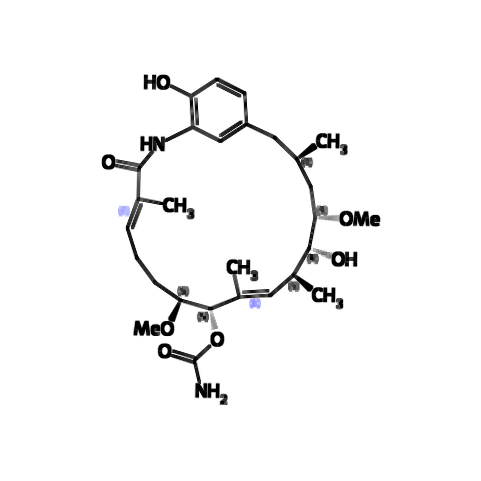 CO[C@H]1C[C@H](C)Cc2ccc(O)c(c2)NC(=O)/C(C)=C/CC[C@H](OC)[C@@H](OC(N)=O)/C(C)=C/[C@H](C)[C@H]1O